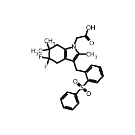 Cc1c(Cc2ccccc2S(=O)(=O)c2ccccc2)c2c(n1CC(=O)O)CC(C)(C)C(F)(F)C2